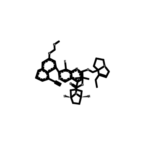 C#Cc1cccc2cc(OCOC)cc(-c3ncc4c(N5C[C@H]6CC[C@@H](C5)N6C(=O)OC(C)(C)C)nc(OCC56CCCN5CC=C6CC)nc4c3F)c12